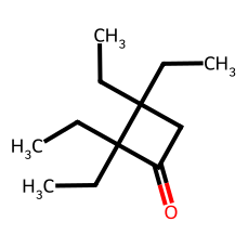 CCC1(CC)CC(=O)C1(CC)CC